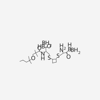 BBC(=O)C(N)CSC1CCC1SCC(NC(=O)C(C)(C)COC(C)(C)CCC)C(=O)BB